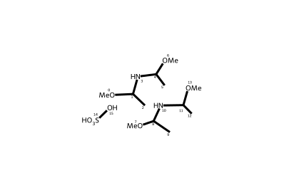 COC(C)NC(C)OC.COC(C)NC(C)OC.O=S(=O)(O)O